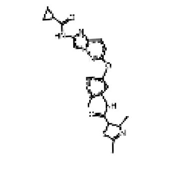 CC1=NC(C)C(C(=O)Nc2cc(Oc3ccc4nc(NC(=O)C5CC5)cn4n3)ccc2C)S1